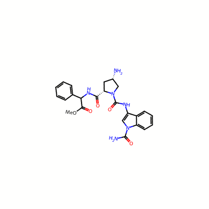 COC(=O)C(NC(=O)[C@@H]1C[C@H](N)CN1C(=O)Nc1cn(C(N)=O)c2ccccc12)c1ccccc1